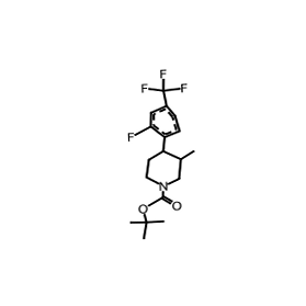 CC1CN(C(=O)OC(C)(C)C)CCC1c1ccc(C(F)(F)F)cc1F